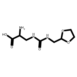 NC(CNC(=O)NCC1OCCO1)C(=O)O